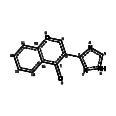 O=c1c(-c2nc[nH]n2)coc2ccccc12